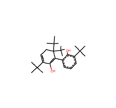 CC(C)(C)C1=CCC(C(C)(C)C)(C(C)(C)C)C(c2cccc(C(C)(C)C)c2O)=C1O